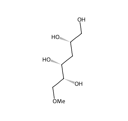 COC[C@@H](O)[C@H](O)C[C@H](O)CO